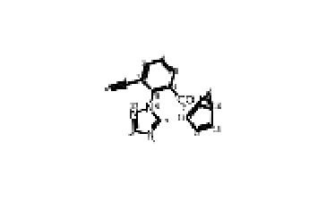 C#Cc1cccc(C(=O)O)c1-n1cncn1.c1cc2cc-2c1